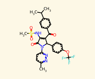 Cc1ccc(N2C(=O)C(NS(C)(=O)=O)=C(C(=O)c3ccc(C(C)C)cc3)C2c2ccc(OC(F)(F)F)cc2)nn1